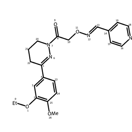 CCOc1cc(C2=NN(C(=O)CON=Cc3ccncc3)CCC2)ccc1OC